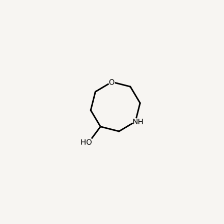 OC1CCOCCNC1